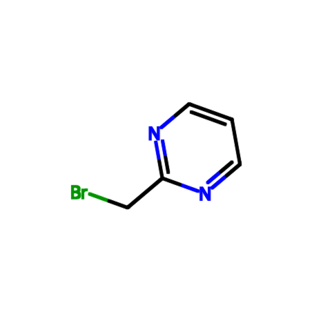 BrCc1ncccn1